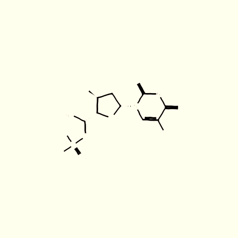 N#CC(OP(=O)(O)O)[C@H]1O[C@@H](n2cc(F)c(=O)[nH]c2=O)C[C@@H]1O